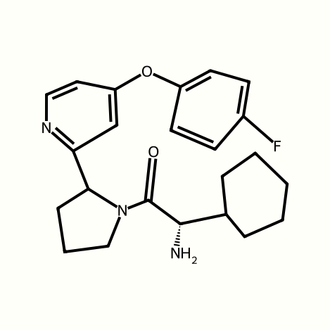 N[C@H](C(=O)N1CCCC1c1cc(Oc2ccc(F)cc2)ccn1)C1CCCCC1